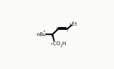 CCC=CC(CCCC)C(=O)O